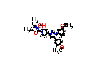 COc1ccc(-c2cc(C3CCN(C(=O)N(O)C(C)C)CC3)nn2-c2cccc(OC)c2)cc1